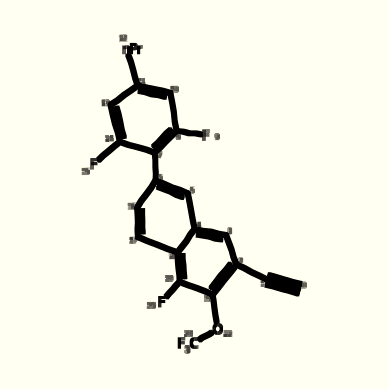 C#Cc1cc2cc(-c3c(F)cc(CCC)cc3F)ccc2c(F)c1OC(F)(F)F